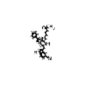 CC(=O)CCCCC[C@H](NC(=O)Cc1c[nH]c2ccc(C#N)cc12)c1ncc(-c2ccccc2)[nH]1